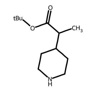 CC(C(=O)OC(C)(C)C)C1CCNCC1